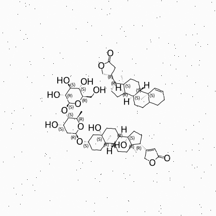 C[C@H]1O[C@@H](O[C@H]2CC[C@]3(C)[C@H]4CC[C@]5(C)[C@@H](C6=CC(=O)OC6)CC[C@]5(O)[C@@H]4CC[C@]3(O)C2)C[C@H](O)[C@@H]1O[C@@H]1O[C@H](CO)[C@@H](O)[C@H](O)[C@H]1O.C[C@]12CC[C@H]3[C@@H](CCC4CCC=C[C@@]43C)[C@H]1CC[C@@H]2[C@@H]1COC(=O)C1